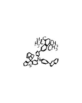 CC1(C)CCC(C)(C)c2cc(-c3cccc(N(c4ccc(-c5ccc6ccccc6c5)cc4)c4ccc5c(c4)C4(c6ccccc6S5)C5CC6CC7CC4C75C6)c3)ccc21